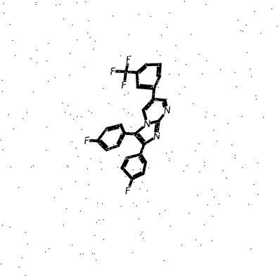 Fc1ccc(-c2nc3ncc(-c4cccc(C(F)(F)F)c4)cn3c2-c2ccc(F)cc2)cc1